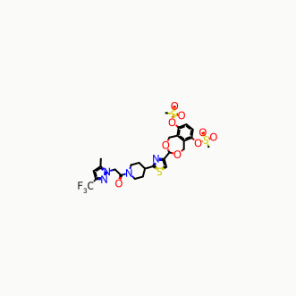 Cc1cc(C(F)(F)F)nn1CC(=O)N1CCC(c2nc(C3OCc4c(OS(C)(=O)=O)ccc(OS(C)(=O)=O)c4CO3)cs2)CC1